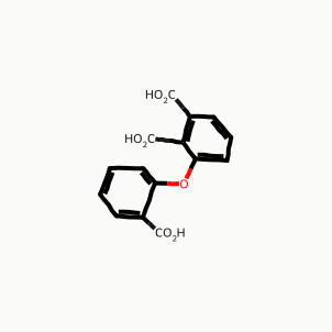 O=C(O)c1ccccc1Oc1cccc(C(=O)O)c1C(=O)O